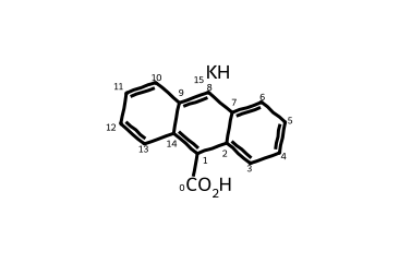 O=C(O)c1c2ccccc2cc2ccccc12.[KH]